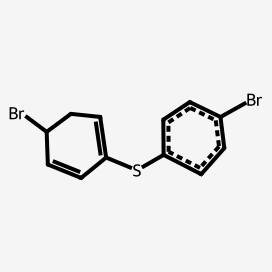 Brc1ccc(SC2=CCC(Br)C=C2)cc1